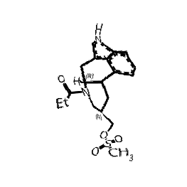 CCC(=O)N1C[C@H](COS(C)(=O)=O)CC2c3cccc4[nH]cc(c34)C[C@H]21